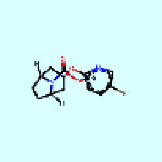 CC(C)(C)OC(=O)N1[C@@H]2CC[C@H]1C[C@H](Oc1ccc(Br)cn1)C2